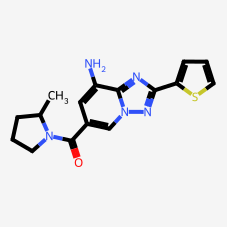 CC1CCCN1C(=O)c1cc(N)c2nc(-c3cccs3)nn2c1